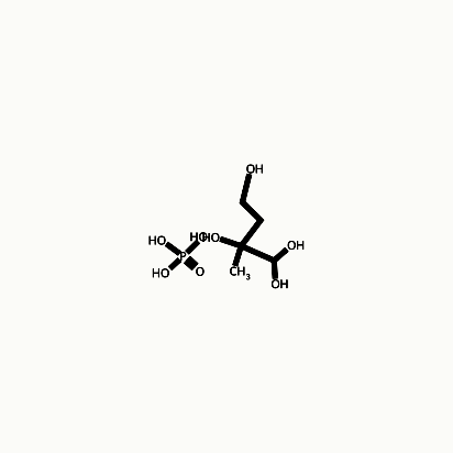 CC(O)(CCO)C(O)O.O=P(O)(O)O